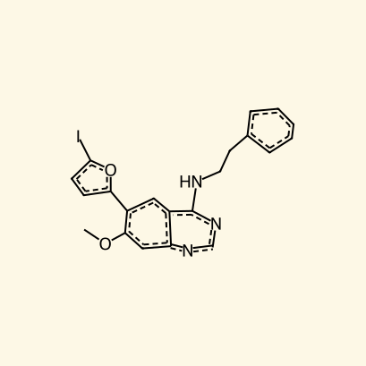 COc1cc2ncnc(NCCc3ccccc3)c2cc1-c1ccc(I)o1